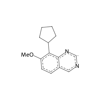 COc1ccc2cn[c]nc2c1C1CCCC1